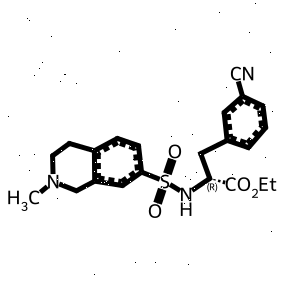 CCOC(=O)[C@@H](Cc1cccc(C#N)c1)NS(=O)(=O)c1ccc2c(c1)CN(C)CC2